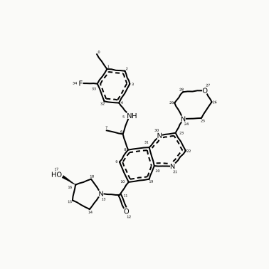 Cc1ccc(NC(C)c2cc(C(=O)N3CC[C@@H](O)C3)cc3ncc(N4CCOCC4)nc23)cc1F